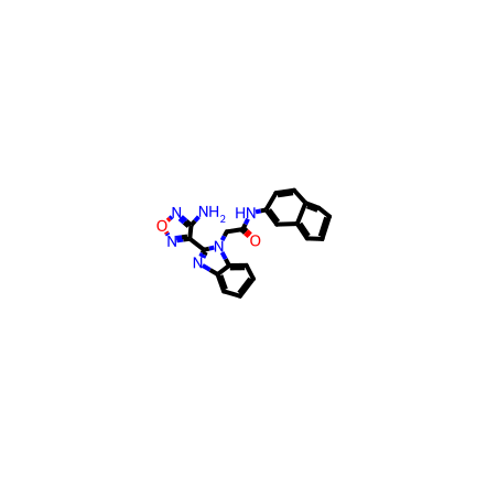 Nc1nonc1-c1nc2ccccc2n1CC(=O)Nc1ccc2ccccc2c1